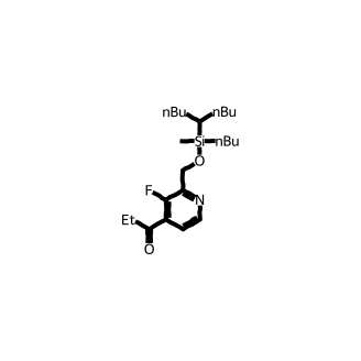 CCCCC(CCCC)[Si](C)(CCCC)OCc1nccc(C(=O)CC)c1F